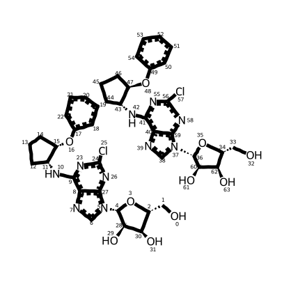 OC[C@H]1O[C@@H](n2cnc3c(N[C@@H]4CCC[C@@H]4Oc4ccccc4)nc(Cl)nc32)[C@H](O)[C@@H]1O.OC[C@H]1O[C@@H](n2cnc3c(N[C@@H]4CCC[C@H]4Oc4ccccc4)nc(Cl)nc32)[C@H](O)[C@@H]1O